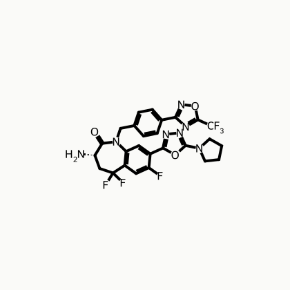 N[C@H]1CC(F)(F)c2cc(F)c(-c3nnc(N4CCCC4)o3)cc2N(Cc2ccc(-c3noc(C(F)(F)F)n3)cc2)C1=O